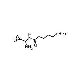 CCCCCCCCCCCC(=O)NC(N)C1CO1